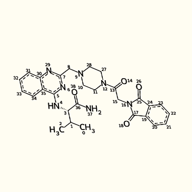 CC(C)[C@H](Nc1nc(CN2CCN(C(=O)CN3C(=O)c4ccccc4C3=O)CC2)nc2ccccc12)C(N)=O